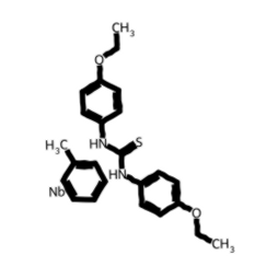 CCOc1ccc(NC(=S)Nc2ccc(OCC)cc2)cc1.Cc1ccccc1.[Nb]